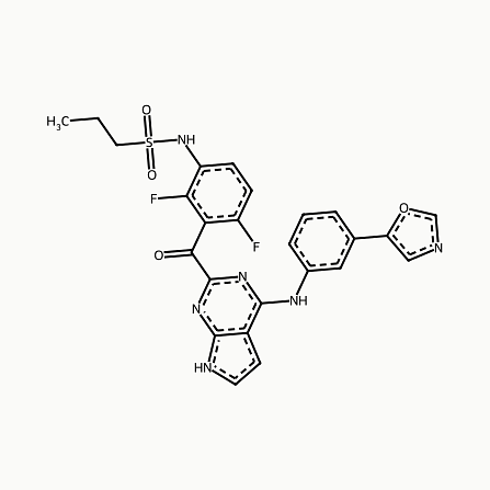 CCCS(=O)(=O)Nc1ccc(F)c(C(=O)c2nc(Nc3cccc(-c4cnco4)c3)c3cc[nH]c3n2)c1F